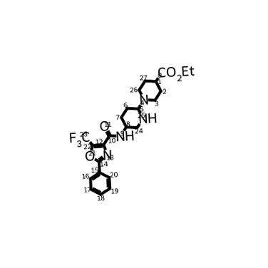 CCOC(=O)C1CCN(C2CCC(NC(=O)c3nc(-c4ccccc4)oc3C(F)(F)F)CN2)CC1